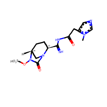 Cn1cncc1CC(=O)NC(=N)[C@@H]1CC[C@@H]2CN1C(=O)N2OS(=O)(=O)O